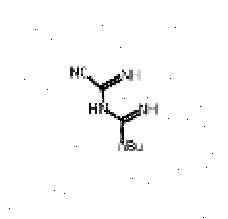 CCCCC(=N)NC(=N)C#N